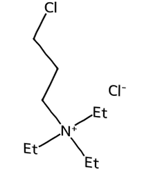 CC[N+](CC)(CC)CCCCl.[Cl-]